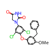 COc1ccc(Oc2c(Cl)cc(N3CC(=O)NC3=O)cc2Cl)cc1Cc1ccccc1